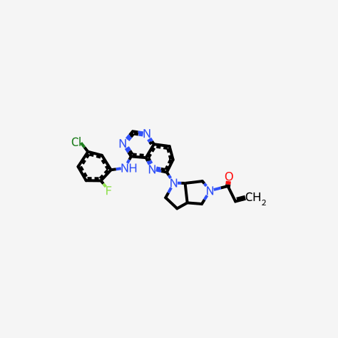 C=CC(=O)N1CC2CCN(c3ccc4ncnc(Nc5cc(Cl)ccc5F)c4n3)C2C1